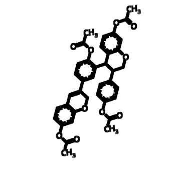 CC(=O)Oc1ccc(C2COc3cc(OC(C)=O)ccc3C2c2cc(C3=Cc4ccc(OC(C)=O)cc4OC3)ccc2OC(C)=O)cc1